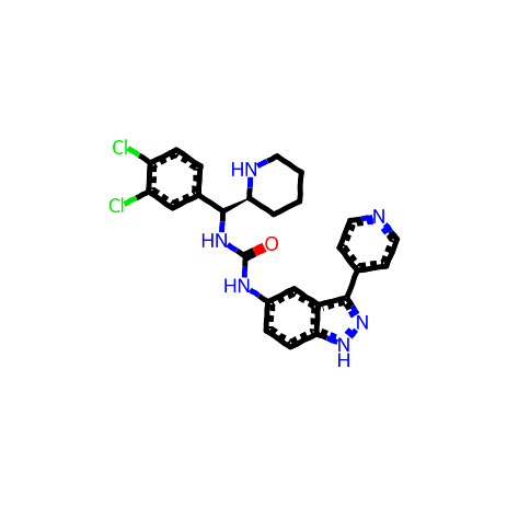 O=C(Nc1ccc2[nH]nc(-c3ccncc3)c2c1)NC(c1ccc(Cl)c(Cl)c1)[C@@H]1CCCCN1